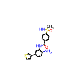 CS(=N)(=O)c1ccc(C(=O)Nc2cc(-c3ccsc3)ccc2N)cc1